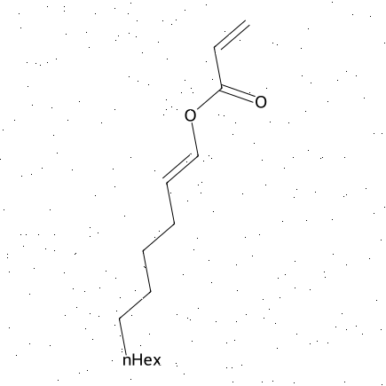 C=CC(=O)OC=CCCCCCCCCCC